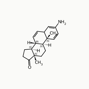 C[C@]12C=CC(N)=CC1C=C[C@@H]1[C@@H]2CC[C@]2(C)C(=O)CC[C@@H]12